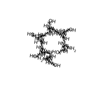 Nc1nc(NCCO)nc(NCCNc2nc(NCCO)nc(NCCNc3nc(NCCO)nc(NCCNc4nc(NCCO)nc(NCCNc5nc(NCCO)nc(NCCNc6nc(N)nc(NCCO)n6)n5)n4)n3)n2)n1